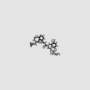 CC(C)NC(=O)OCCN(Cc1ncccc1C(F)(F)F)C(=O)CNc1cccc2c1CN(CC1CC1)CCO2